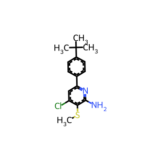 CSc1c(Cl)cc(-c2ccc(C(C)(C)C)cc2)nc1N